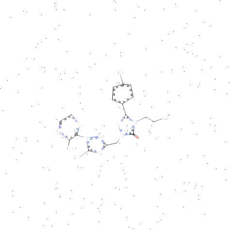 CCc1nc(Cn2nc(-c3ccc(Cl)cc3)n(CCC(F)(F)F)c2=O)nn1-c1nccnc1OC